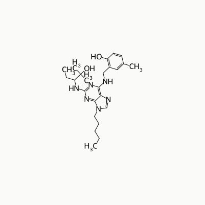 CCCCCn1cnc2c(NCc3cc(C)ccc3O)nc(NC(CC)C(C)(C)O)nc21